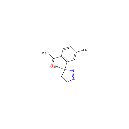 COC(=O)c1ccc(C#N)cc1C1(C(C)C)C=CN=N1